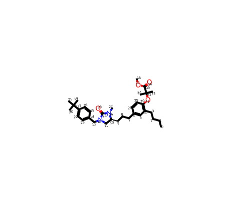 CCCCc1cc(CCC[C@H]2CN(Cc3ccc(C(C)(C)C)cc3)C(=O)N2C)ccc1OC(C)(C)C(=O)OC